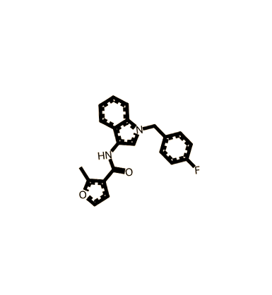 Cc1occc1C(=O)Nc1cn(Cc2ccc(F)cc2)c2ccccc12